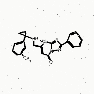 O=c1cc(CNC2(c3cccc(C(F)(F)F)c3)CC2)[nH]c2nc(-c3ccccc3)nn12